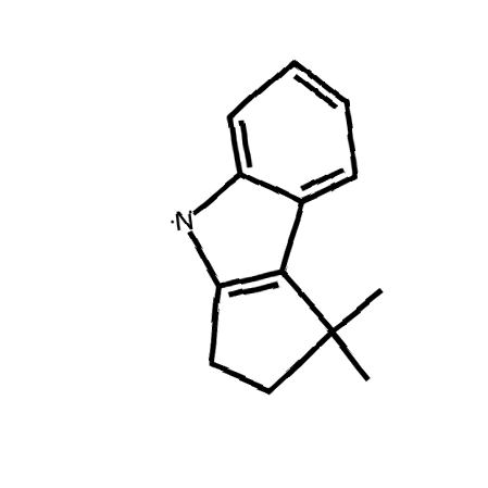 CC1(C)CCC2=C1c1ccccc1[N]2